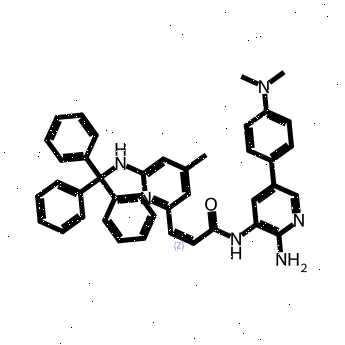 Cc1cc(/C=C\C(=O)Nc2cc(-c3ccc(N(C)C)cc3)cnc2N)nc(NC(c2ccccc2)(c2ccccc2)c2ccccc2)c1